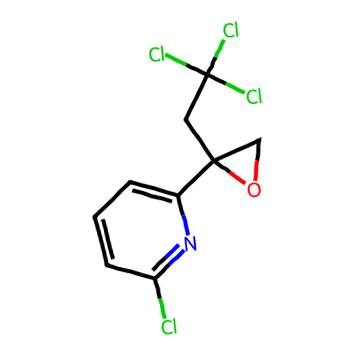 Clc1cccc(C2(CC(Cl)(Cl)Cl)CO2)n1